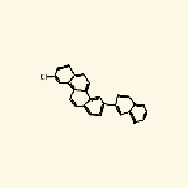 Clc1ccc2ccc3c4cc(-c5ccc6ccccc6c5)ccc4ccc3c2c1